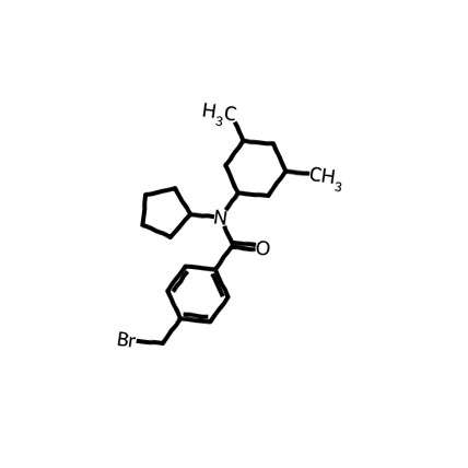 CC1CC(C)CC(N(C(=O)c2ccc(CBr)cc2)C2CCCC2)C1